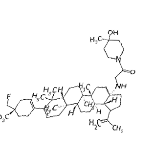 C=C(C)C1CC[C@]2(NCC(=O)N3CCC(C)(O)CC3)CC[C@]3(C)[C@H](CC[C@@H]4[C@@]5(C)CC=C(C6=CC[C@](CF)(C(=O)O)CC6)C(C)(C)[C@@H]5CC[C@]43C)[C@@H]12